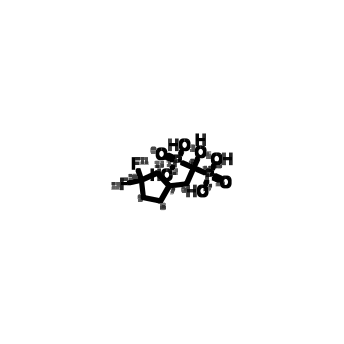 O=P(O)(O)C(O)(CC1CCC(F)(F)C1)P(=O)(O)O